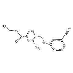 [C-]#[N+]c1cccc(NCc2ccc(C(=O)OCC)cc2N)c1